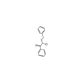 O=C(c1ccccc1)C(Cl)SCc1ccccc1